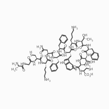 C[C@H](N)C(=O)NCC(=O)N[C@@H](CS)C(=O)N[C@@H](CCCCN)C(=O)N[C@@H](CC(N)=O)C(=O)N[C@@H](Cc1ccccc1)C(=O)N[C@@H](Cc1ccccc1)C(=O)N[C@@H](Cc1c[nH]c2ccc(F)cc12)C(=O)N[C@@H](CCCCN)C(=O)N[C@H](C(=O)N[C@@H](Cc1ccccc1)C(=O)N[C@H](C(=O)N[C@@H](CO)C(=O)N[C@@H](CS)C(=O)O)[C@@H](C)O)[C@@H](C)O